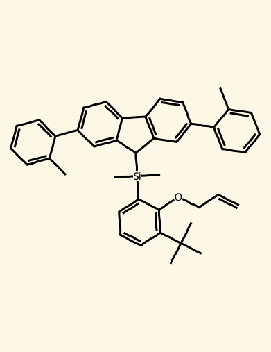 C=CCOc1c(C(C)(C)C)cccc1[Si](C)(C)C1c2cc(-c3ccccc3C)ccc2-c2ccc(-c3ccccc3C)cc21